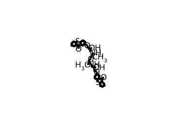 CC(COCC(C)NCC(O)COc1ccc2sc3ccccc3c(=O)c2c1)NCC(O)COc1ccc2sc3ccccc3c(=O)c2c1